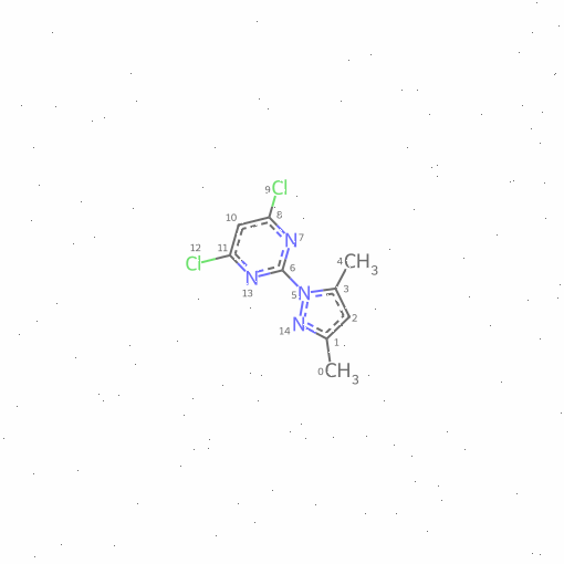 Cc1cc(C)n(-c2nc(Cl)cc(Cl)n2)n1